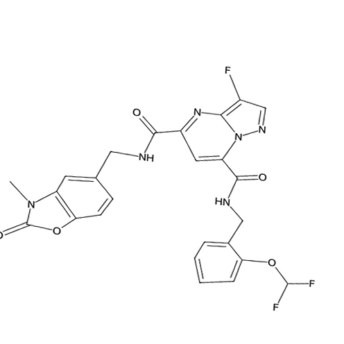 Cn1c(=O)oc2ccc(CNC(=O)c3cc(C(=O)NCc4ccccc4OC(F)F)n4ncc(F)c4n3)cc21